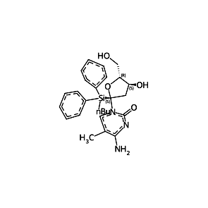 CCCC[Si](c1ccccc1)(c1ccccc1)[C@]1(n2cc(C)c(N)nc2=O)C[C@H](O)[C@@H](CO)O1